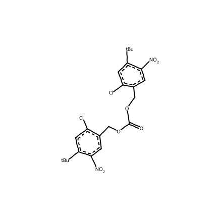 CC(C)(C)c1cc(Cl)c(COC(=O)OCc2cc([N+](=O)[O-])c(C(C)(C)C)cc2Cl)cc1[N+](=O)[O-]